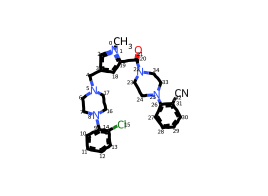 Cn1cc(CN2CCN(c3ccccc3Cl)CC2)cc1C(=O)N1CCN(c2ccccc2C#N)CC1